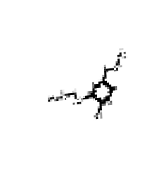 COCOc1cc(CSC(C)=O)ccc1Cl